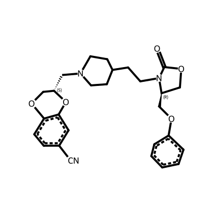 N#Cc1ccc2c(c1)O[C@@H](CN1CCC(CCN3C(=O)OC[C@H]3COc3ccccc3)CC1)CO2